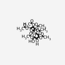 CC(=O)OC[C@H]1O[C@@](COC(C)=O)(O[C@H]2O[C@H](CO)[C@@H](O)[C@H](OC(C)=O)[C@H]2OC(C)=O)[C@@H](OC(C)=O)[C@@H]1OC(C)=O